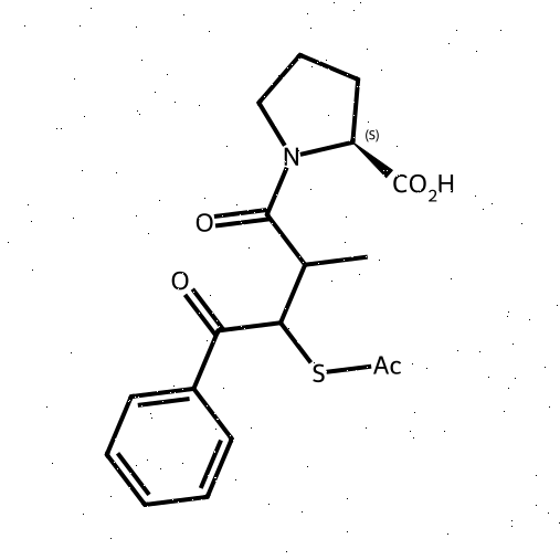 CC(=O)SC(C(=O)c1ccccc1)C(C)C(=O)N1CCC[C@H]1C(=O)O